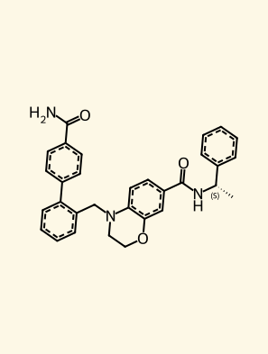 C[C@H](NC(=O)c1ccc2c(c1)OCCN2Cc1ccccc1-c1ccc(C(N)=O)cc1)c1ccccc1